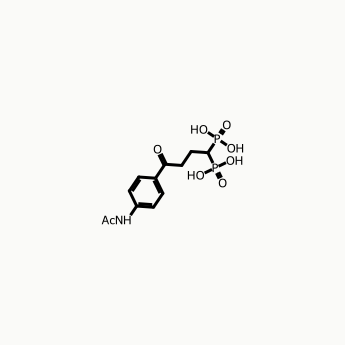 CC(=O)Nc1ccc(C(=O)CCC(P(=O)(O)O)P(=O)(O)O)cc1